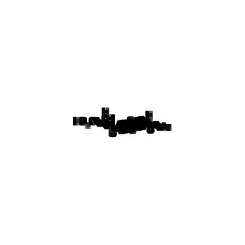 CC(=O)CCC(=O)Nc1ccc(S(=O)(=O)c2ccc(C(=O)NCC(O)CCC(=O)O)cc2)cc1